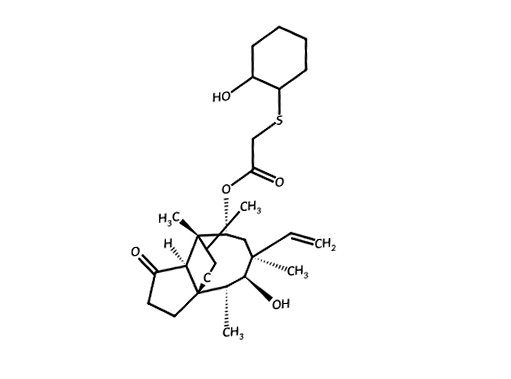 C=C[C@]1(C)C[C@@H](OC(=O)CSC2CCCCC2O)[C@]2(C)C(C)CC[C@]3(CCC(=O)[C@H]32)[C@@H](C)[C@@H]1O